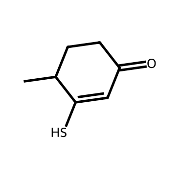 CC1CCC(=O)C=C1S